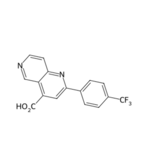 O=C(O)c1cc(-c2ccc(C(F)(F)F)cc2)nc2ccncc12